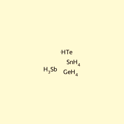 [GeH4].[SbH3].[SnH4].[TeH]